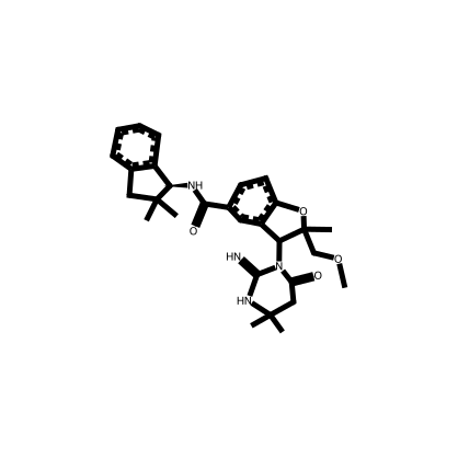 COCC1(C)Oc2ccc(C(=O)N[C@@H]3c4ccccc4CC3(C)C)cc2C1N1C(=N)NC(C)(C)CC1=O